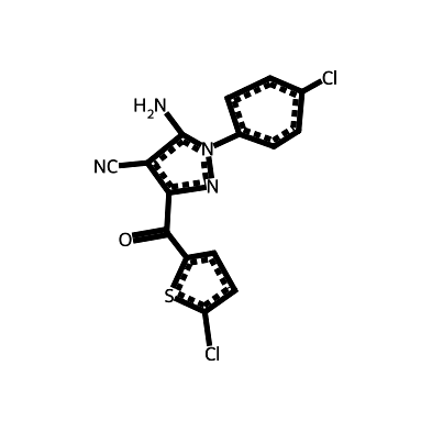 N#Cc1c(C(=O)c2ccc(Cl)s2)nn(-c2ccc(Cl)cc2)c1N